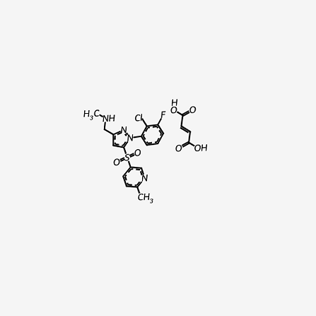 CNCc1cc(S(=O)(=O)c2ccc(C)nc2)n(-c2cccc(F)c2Cl)n1.O=C(O)C=CC(=O)O